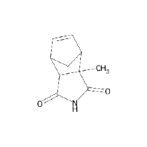 CC12C(=O)NC(=O)C1C1C=CC2C1